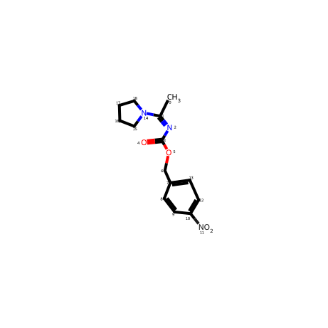 CC(=NC(=O)OCc1ccc([N+](=O)[O-])cc1)N1C[CH]CC1